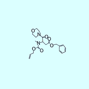 C=CCOC(=O)N(C)C(CC(=O)OCc1ccccc1)C(=O)N1CCOCC1